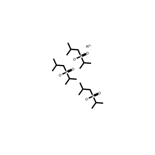 CC(C)CP(=O)([O-])C(C)C.CC(C)CP(=O)([O-])C(C)C.CC(C)CP(=O)([O-])C(C)C.[Al+3]